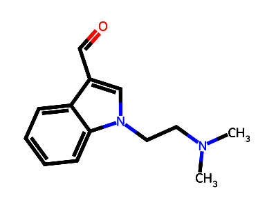 CN(C)CCn1cc(C=O)c2ccccc21